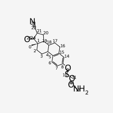 C[C@]12CCC3c4ccc(OSOON)cc4CCC3C1CC(C#N)C2=O